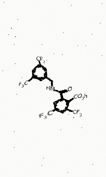 O=C(NCc1cc(C(F)(F)F)cc(C(F)(F)F)c1)c1cc(C(F)(F)F)cc(C(F)(F)F)c1C(=O)O